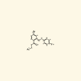 CC(=O)CCC(=O)c1ccc(Br)cc1OCc1ccc(F)cc1